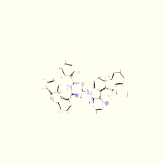 CC1(C)c2ccccc2-c2ccc3c(c21)c1nccnc1n3-c1nc(-c2ccccc2)nc(-c2cccc3sc4ccccc4c23)n1